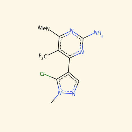 CNc1nc(N)nc(-c2cnn(C)c2Cl)c1C(F)(F)F